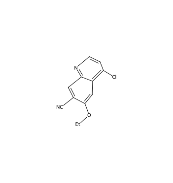 CCOc1cc2c(Cl)ccnc2cc1C#N